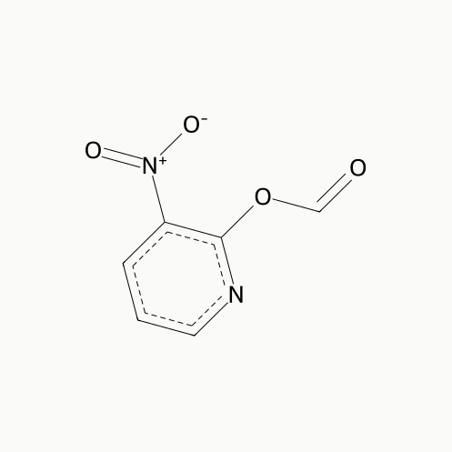 O=COc1ncccc1[N+](=O)[O-]